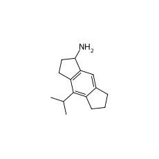 CC(C)c1c2c(cc3c1CCC3N)CCC2